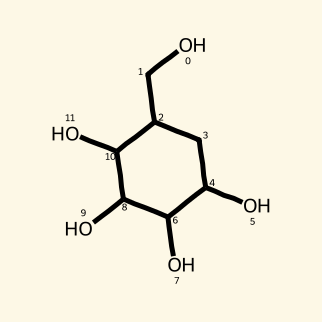 OCC1CC(O)C(O)C(O)C1O